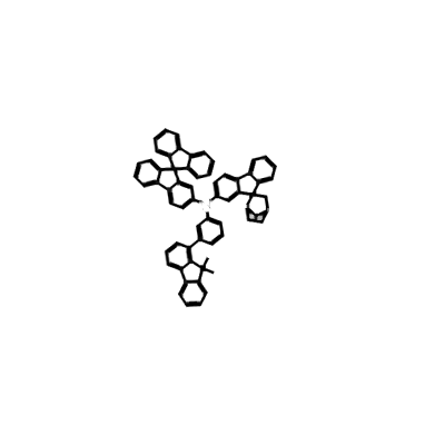 CC1(C)c2ccccc2-c2cccc(-c3cccc(N(c4ccc5c(c4)C4(c6ccccc6-c6ccccc64)c4ccccc4-5)c4ccc5c(c4)C4(CC6CCC4C6)c4ccccc4-5)c3)c21